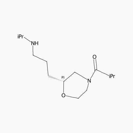 CC(C)NCCC[C@@H]1CN(C(=O)C(C)C)CCO1